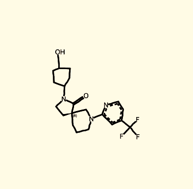 O=C1N(C2CCC(O)CC2)CC[C@@]12CCCN(c1cc(C(F)(F)F)ccn1)C2